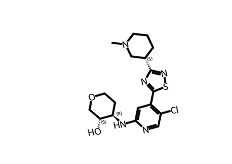 CN1CCC[C@H](c2nsc(-c3cc(N[C@@H]4CCOC[C@H]4O)ncc3Cl)n2)C1